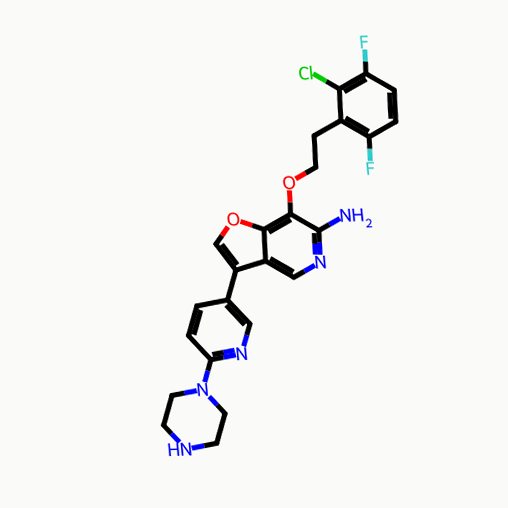 Nc1ncc2c(-c3ccc(N4CCNCC4)nc3)coc2c1OCCc1c(F)ccc(F)c1Cl